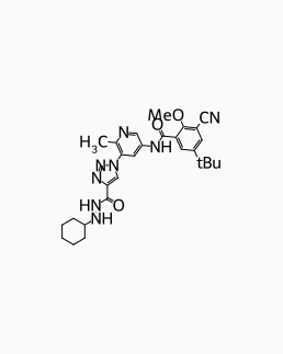 COc1c(C#N)cc(C(C)(C)C)cc1C(=O)Nc1cnc(C)c(-n2cc(C(=O)NNC3CCCCC3)nn2)c1